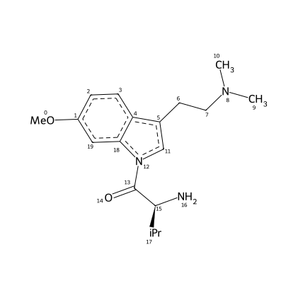 COc1ccc2c(CCN(C)C)cn(C(=O)[C@@H](N)C(C)C)c2c1